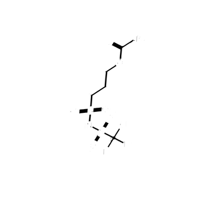 CCC(C)C(=O)OCCCS(=O)(=O)NS(=O)(=O)C(F)(F)C(F)(F)F